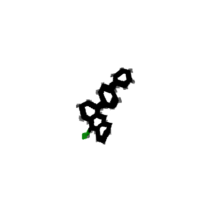 Brc1c2ccccc2cc2c(-c3ccc(-c4ccccc4)cc3)cccc12